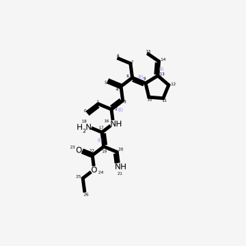 C=C/C(=C\C(=C)/C(CC)=C1\CCC\C1=C\C)N/C(N)=C(\C=N)C(=O)OCC